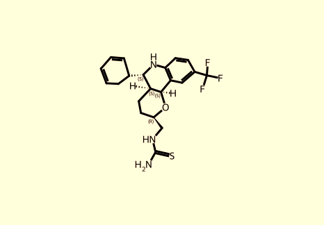 NC(=S)NC[C@H]1CC[C@@H]2[C@H](O1)c1cc(C(F)(F)F)ccc1N[C@H]2C1C=CC=CC1